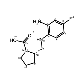 Nc1cc(F)ccc1NC[C@@H]1CCCN1C(=O)O